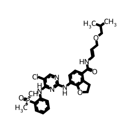 CC(C)COCC=CNC(=O)c1ccc(Nc2ncc(Cl)c(Nc3ccccc3P(C)(C)=O)n2)c2c1CCO2